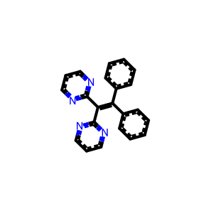 c1ccc(C(=C(c2ncccn2)c2ncccn2)c2ccccc2)cc1